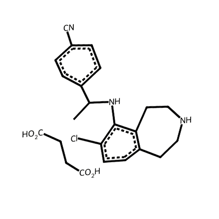 CC(Nc1c(Cl)ccc2c1CCNCC2)c1ccc(C#N)cc1.O=C(O)CCC(=O)O